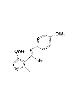 CCCC(=Cc1ccc(OC)cc1)c1c(OC)csc1C